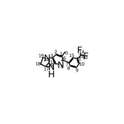 Cc1cc2c(nc1-c1cccc(C(F)F)c1)NC1CCN2C1